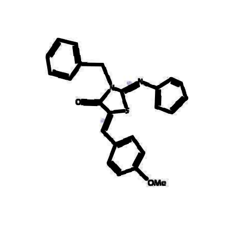 COc1ccc(/C=C2\S/C(=N\c3ccccc3)N(Cc3ccccc3)C2=O)cc1